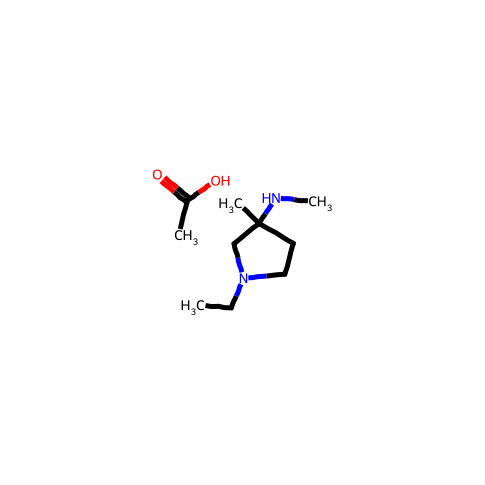 CC(=O)O.CCN1CCC(C)(NC)C1